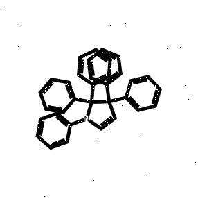 C1=CC(c2ccccc2)(c2ccccc2)C(c2ccccc2)(c2ccccc2)N1c1ccccc1